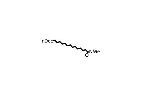 CCCCCCCCCCCCCCCCCCCCCCCC(=O)NC